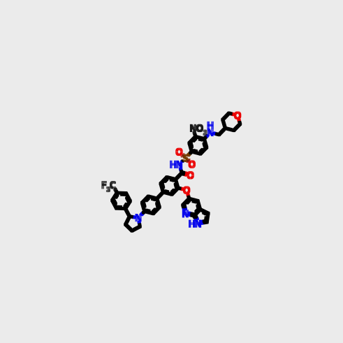 O=C(NS(=O)(=O)c1ccc(NCC2CCOCC2)c([N+](=O)[O-])c1)c1ccc(-c2ccc(N3CCCC3c3ccc(C(F)(F)F)cc3)cc2)cc1Oc1cnc2[nH]ccc2c1